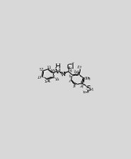 CSc1ccc(C(Cl)=NNc2ccccc2)c(C)c1